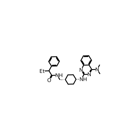 CCC(C(=O)NC[C@H]1CC[C@@H](Nc2nc(N(C)C)c3ccccc3n2)CC1)c1ccccc1